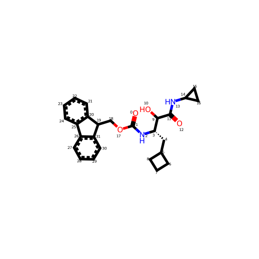 O=C(N[C@@H](CC1CCC1)C(O)C(=O)NC1CC1)OCC1c2ccccc2-c2ccccc21